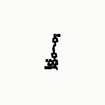 COC(=O)C(C(=O)NI)N(C)C(=O)c1ccc(C#C/C=C/c2ccc(C=O)cc2)cc1